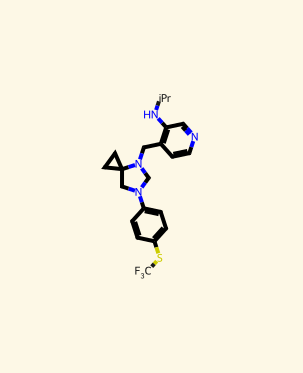 CC(C)Nc1cnccc1CN1CN(c2ccc(SC(F)(F)F)cc2)CC12CC2